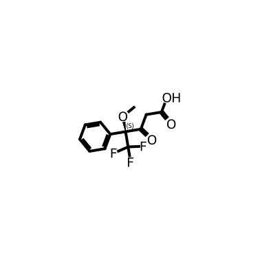 CO[C@](C(=O)CC(=O)O)(c1ccccc1)C(F)(F)F